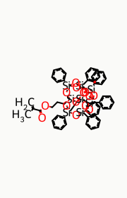 C=C(C)C(=O)OCCC[Si]12O[Si]3(c4ccccc4)O[Si]4(c5ccccc5)O[Si](c5ccccc5)(O1)O[Si]1(c5ccccc5)O[Si](c5ccccc5)(O2)O[Si](c2ccccc2)(O3)O[Si](c2ccccc2)(O4)O1